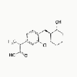 CC(C(=O)O)c1ccc(C[C@@H]2CCCC[C@H]2O)c(Cl)c1